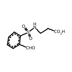 O=Cc1ccccc1S(=O)(=O)NCCC(=O)O